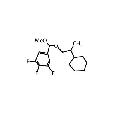 COC(OCC(C)C1CCCCC1)c1cc(F)c(F)c(F)c1